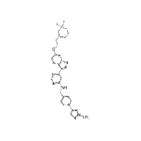 Cn1cc(-c2ccc(CNc3cc(-c4cnc5cc(OCCN6CCCC(F)(F)C6)ccn45)ncn3)cc2)cn1